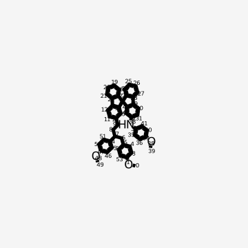 COc1ccc(CC(CCc2ccc3c(c2)C2(c4ccccc4-3)c3ccccc3-c3ccc(Nc4ccc(OC)cc4)cc32)c2ccc(OC)cc2)cc1